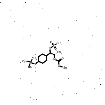 C[C@H](NC(=O)OC(C)(C)C)C(OS(C)(=O)=O)C1CCC(O[Si](C)(C)C(C)(C)C)CC1